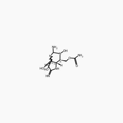 N=C1N[C@H]2[C@H](COC(N)=O)N(O)C(N)N3CCC(O)(O)[C@]23N1